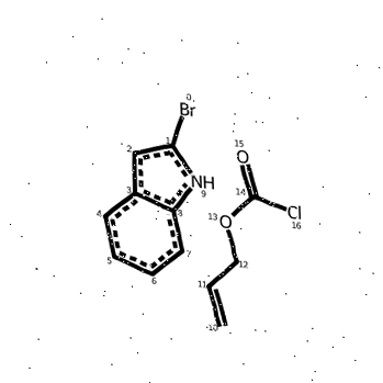 Brc1cc2ccccc2[nH]1.C=CCOC(=O)Cl